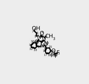 Cn1c(=O)n(CCCO)c(=O)c2c1nc(C1=CC=CC(OC(F)(F)F)C1)n2Cc1ccccc1